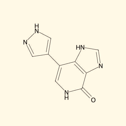 O=c1[nH]cc(-c2cn[nH]c2)c2[nH]cnc12